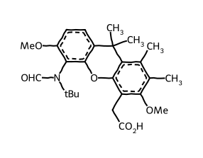 COc1ccc2c(c1N(C=O)C(C)(C)C)Oc1c(CC(=O)O)c(OC)c(C)c(C)c1C2(C)C